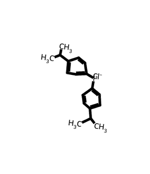 CC(C)c1ccc([I+]c2ccc(C(C)C)cc2)cc1.[Cl-]